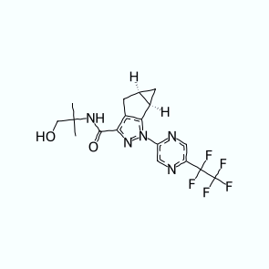 CC(C)(CO)NC(=O)c1nn(-c2cnc(C(F)(F)C(F)(F)F)cn2)c2c1C[C@H]1C[C@@H]21